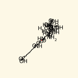 C[C@@H](CO)C(=O)N[C@@H](CCC(=O)O)C(=O)N[C@@H](CCC(=O)O)C(=O)N[C@@H](CO)C(=O)N[C@@H](CO)C(=O)N[C@@H](CCCCNC(=O)COCCOCCNC(=O)CCCCCCCCCCCCCCCC(=O)O)C(N)=O